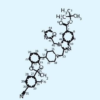 CC(C)(C)OC(=O)c1ccc2nc(CN3CCC(c4cccc5c4OC(C)(c4ccc(C#N)cc4F)O5)CC3)n(Cc3ncco3)c2c1